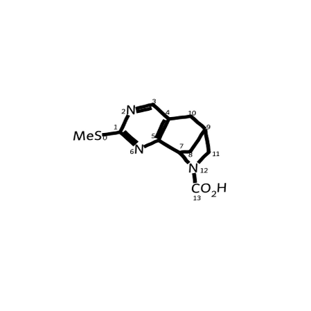 CSc1ncc2c(n1)C1CC(C2)CN1C(=O)O